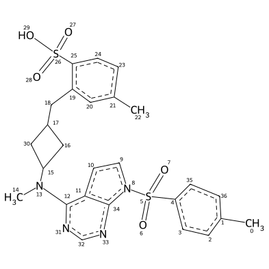 Cc1ccc(S(=O)(=O)n2ccc3c(N(C)C4CC(Cc5cc(C)ccc5S(=O)(=O)O)C4)ncnc32)cc1